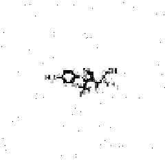 CON(C)C(=O)c1cnn(-c2ccc(C)cc2)c1C(F)(F)F